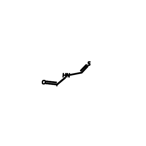 O=[C]NC=S